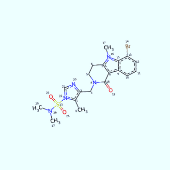 Cc1c(CN2CCc3c(c4cccc(Br)c4n3C)C2=O)ncn1S(=O)(=O)N(C)C